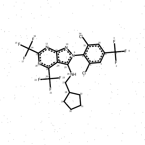 FC(F)(F)c1cc(Cl)c(-n2nc3nc(C(F)(F)F)nc(C(F)(F)F)c3c2NCC2CCCC2)c(Cl)c1